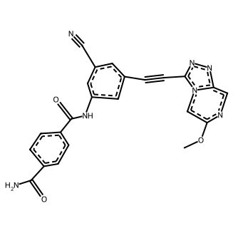 COc1cn2c(C#Cc3cc(C#N)cc(NC(=O)c4ccc(C(N)=O)cc4)c3)nnc2cn1